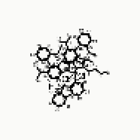 CCCCC1=Cc2c(ccc(C(C)C)c2-c2ccccc2CC)[CH]1[Zr]([Cl])([Cl])([c]1cccc2c1[SiH2]c1ccccc1-2)[CH]1C(CCCC)=Cc2c1ccc(C(C)C)c2-c1ccccc1CC